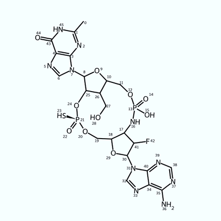 Cc1nc2c(ncn2C2OC3COP(=O)(O)NC4C(CO[P@@](=O)(S)OC2C3CO)OC(n2cnc3c(N)ncnc32)C4F)c(=O)[nH]1